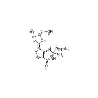 [N-]=[N+]=NC1(N)N=C2C(=NCN2[C@H]2C[C@H](O)[C@@H](CO)O2)C(=O)N1